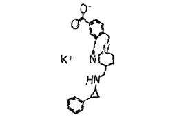 N#Cc1cc(C(=O)[O-])ccc1CN1CCC(CNC2CC2c2ccccc2)CC1.[K+]